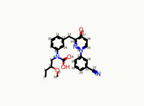 CCC(CN(C(=O)O)c1cccc(Cc2nn(-c3cccc(C#N)c3)ccc2=O)c1)OC